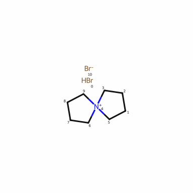 Br.C1CC[N+]2(C1)CCCC2.[Br-]